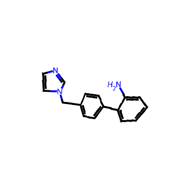 Nc1ccccc1-c1ccc(Cn2ccnc2)cc1